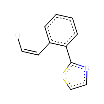 C/C=C\c1ccccc1-c1nccs1